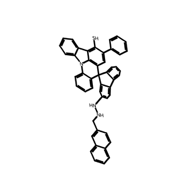 Sc1c(-c2ccccc2)cc2c3c1c1ccccc1n3-c1ccccc1C21c2ccccc2-c2ccc(NNCc3ccc4ccccc4c3)cc21